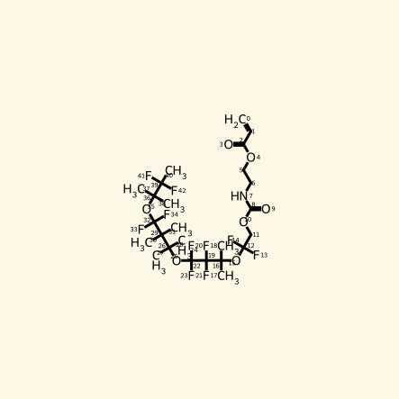 C=CC(=O)OCCNC(=O)OCC(F)(F)OC(C)(C)C(F)(F)C(F)(F)OC(C)(C)C(C)(C)C(F)(F)OC(C)(C)C(C)(F)F